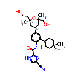 CC1(C)CC=C(c2cc([C@@H]3CC(C)(CO)O[C@](C)(CCO)C3)ccc2NC(=O)c2nc(C#N)c[nH]2)CC1